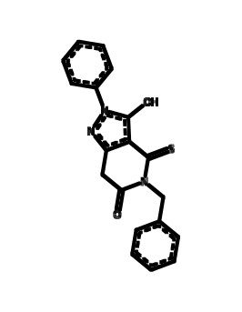 O=C1Cc2nn(-c3ccccc3)c(O)c2C(=S)N1Cc1ccccc1